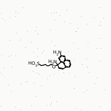 Nc1cc2c3c(cccc3c1)C=CC2(N)OCCCCS(=O)(=O)O